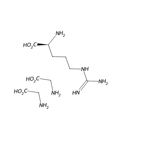 N=C(N)NCCC[C@H](N)C(=O)O.NCC(=O)O.NCC(=O)O